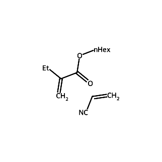 C=C(CC)C(=O)OCCCCCC.C=CC#N